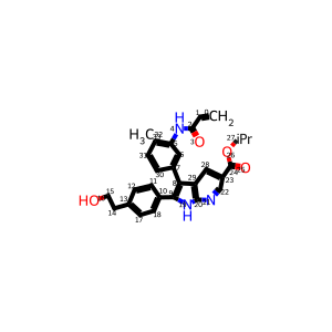 C=CC(=O)Nc1cc(-c2c(-c3ccc(CCO)cc3)[nH]c3ncc(C(=O)OC(C)C)cc23)ccc1C